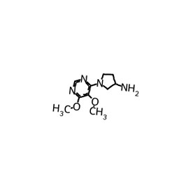 COc1ncnc(N2CCC(N)C2)c1OC